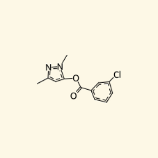 Cc1cc(OC(=O)c2cccc(Cl)c2)n(C)n1